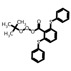 CC(C)(C)OOOC(=O)c1c(Sc2ccccc2)cccc1Sc1ccccc1